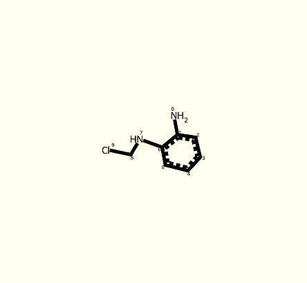 Nc1ccccc1NCCl